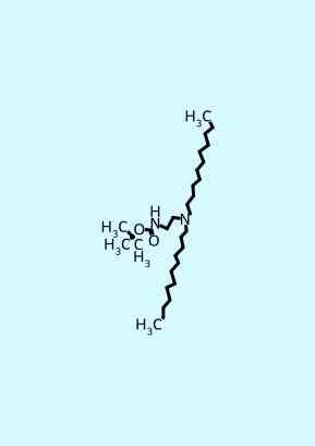 CCCCCCCCCCCCN(CCCCCCCCCCCC)CCNC(=O)OC(C)(C)C